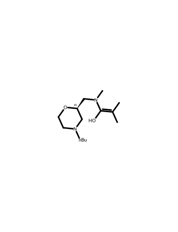 CCCCN1CCO[C@@H](CN(C)C(O)=C(C)C)C1